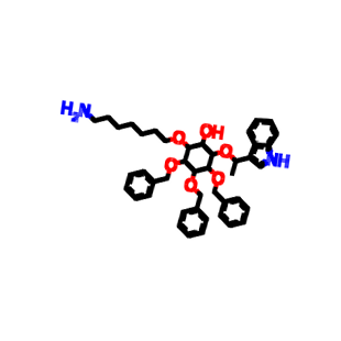 CC(OC1C(O)C(OCCCCCCCN)C(OCc2ccccc2)C(OCc2ccccc2)C1OCc1ccccc1)c1c[nH]c2ccccc12